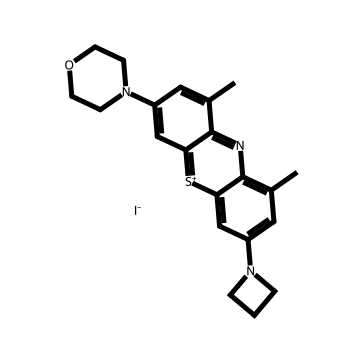 Cc1cc(N2CCC2)cc2[s+]c3cc(N4CCOCC4)cc(C)c3nc12.[I-]